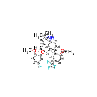 COc1ccc(F)cc1OCc1c(-c2cc(C(F)(F)F)ccc2OC)ccc2c1C(C)=CC(C)(C)N2